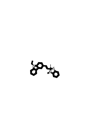 CCn1c2ccccc2c2cc(C=CC3(I)Sc4ccccc4N3C)ccc21